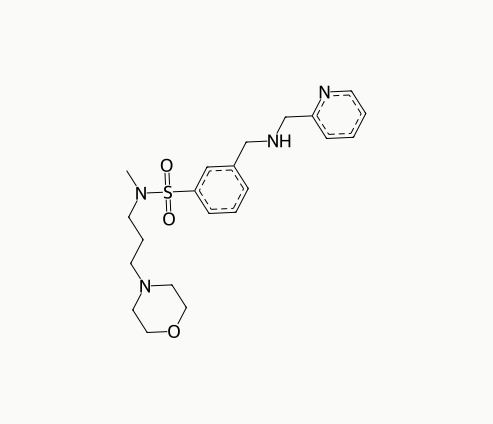 CN(CCCN1CCOCC1)S(=O)(=O)c1cccc(CNCc2ccccn2)c1